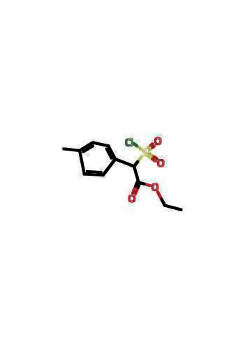 CCOC(=O)C(c1ccc(C)cc1)S(=O)(=O)Cl